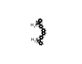 Cc1nc2ccccc2n1-c1ccc(-c2ccc3ccc(-c4ccc(-n5c(C)nc6ccccc65)cc4)cc3c2)cc1